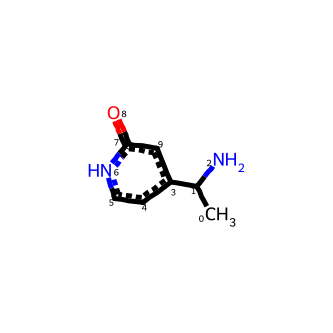 CC(N)c1cc[nH]c(=O)c1